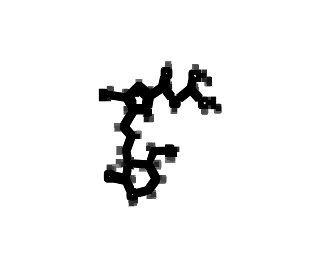 CC(C)OC(=O)c1cc(Br)c(CCCN2C(=O)OCC[C@@H]2CBr)s1